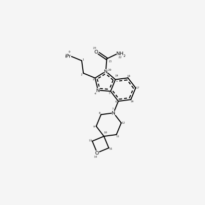 CC(C)CCc1nc2c(N3CCC4(CC3)COC4)cccc2n1C(N)=O